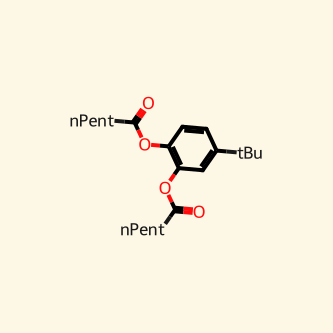 CCCCCC(=O)Oc1ccc(C(C)(C)C)cc1OC(=O)CCCCC